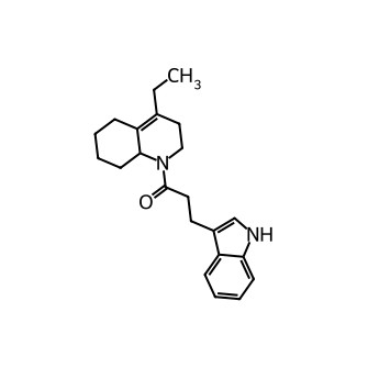 CCC1=C2CCCCC2N(C(=O)CCc2c[nH]c3ccccc23)CC1